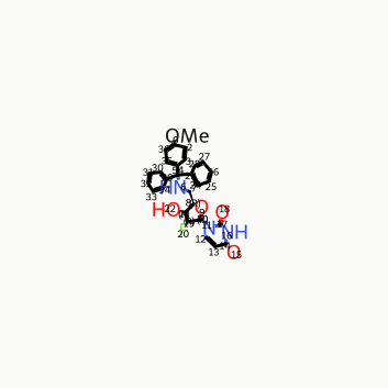 COc1ccc(C(NC[C@H]2O[C@@H](n3ccc(=O)[nH]c3=O)[C@H](F)[C@@H]2O)(c2ccccc2)c2ccccc2)cc1